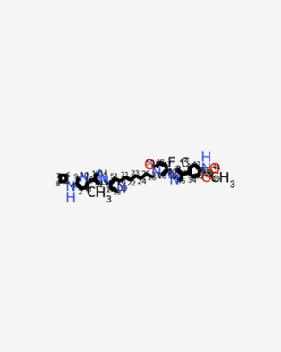 Cc1cc(NC2CCC2)cnc1-c1cnn(-c2ccnc(CCCCCCn3cc(-n4cc(-c5ccc(NS(C)(=O)=O)cc5C(F)(F)F)cn4)ccc3=O)c2)c1